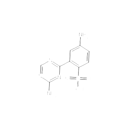 Nc1ccc(S(=O)(=O)O)c(-c2ncnc(N)n2)c1